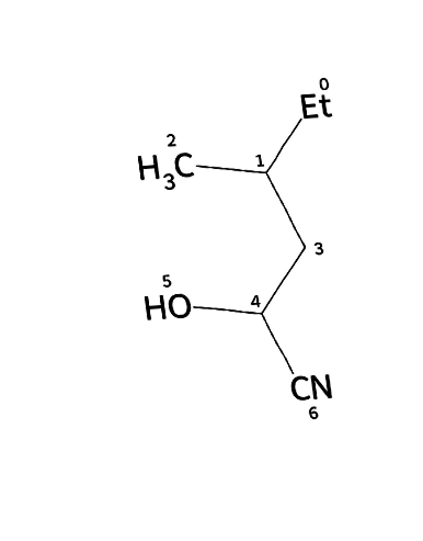 CCC(C)CC(O)C#N